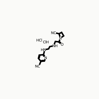 Cl.Cl.N#Cc1ccc(NCCNCC(=O)N2CCC2C#N)nc1